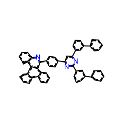 c1ccc(-c2cccc(-c3cc(-c4ccc(-c5nc6ccccc6c6c7ccccc7c7ccccc7c56)cc4)nc(-c4cccc(-c5ccccc5)c4)n3)c2)cc1